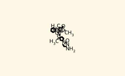 CCOC(=O)[C@H](C)N[P@@](=O)(CO[C@]1(CC)C=C[C@H](n2ccc(N)nc2=O)C1)Oc1ccccc1